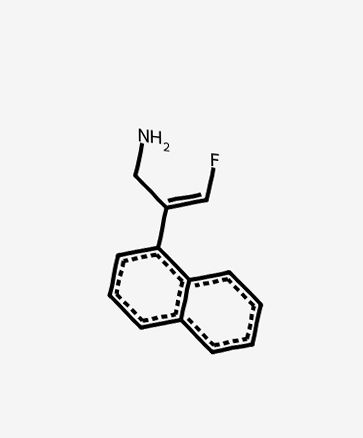 NCC(=CF)c1cccc2ccccc12